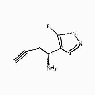 C#CC[C@H](N)c1nn[nH]c1F